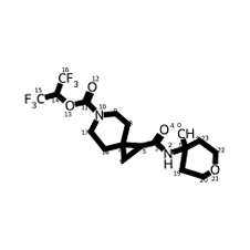 CC1(NC(=O)C2CC23CCN(C(=O)OC(C(F)(F)F)C(F)(F)F)CC3)CCOCC1